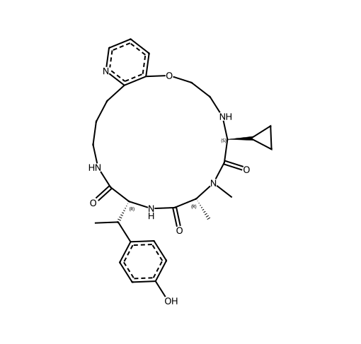 CC(c1ccc(O)cc1)[C@H]1NC(=O)[C@@H](C)N(C)C(=O)[C@H](C2CC2)NCCOc2cccnc2CCCNC1=O